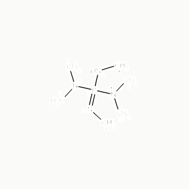 CN=P(NC)(N(C)C)N(C)C